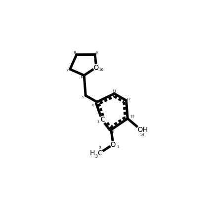 COc1cc(CC2CCCO2)ccc1O